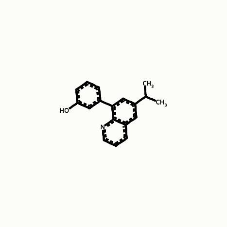 CC(C)c1cc(-c2cccc(O)c2)c2ncccc2c1